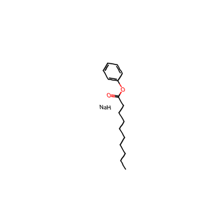 CCCCCCCCCC(=O)Oc1ccccc1.[NaH]